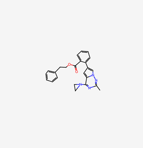 Cc1nc(N2CC2)c2cc(-c3ccccc3C(=O)OCCc3ccccc3)cn2n1